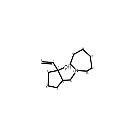 C=CC1(O)CCCC1CN1CCCCCC1